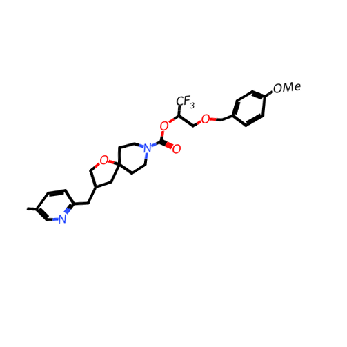 COc1ccc(COCC(OC(=O)N2CCC3(CC2)CC(Cc2ccc(C)cn2)CO3)C(F)(F)F)cc1